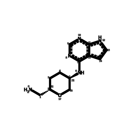 NC[C@@H]1CC[C@@H](Nc2ncnc3[nH]ccc23)CO1